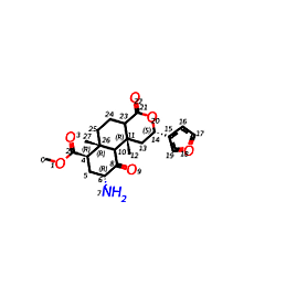 COC(=O)[C@@H]1C[C@@H](N)C(=O)C2[C@@]3(C)C[C@@H](c4ccoc4)OC(=O)C3CC[C@]21C